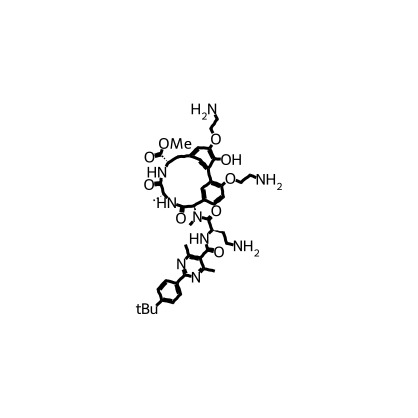 COC(=O)[C@@H]1Cc2cc(OCCN)c(O)c(c2)-c2cc(ccc2OCCN)[C@H](N(C)C(=O)[C@@H](CCN)NC(=O)c2c(C)nc(-c3ccc(C(C)(C)C)cc3)nc2C)C(=O)N[C@H](C)C(=O)N1